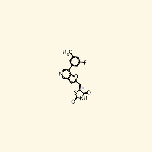 Cc1cc(F)cc(-c2cncc3cc(/C=C4\SC(=O)NC4=O)oc23)c1